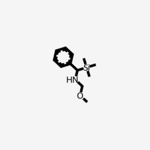 COCNC(c1ccccc1)[Si](C)(C)C